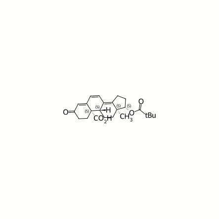 CC(C)(C)C(=O)O[C@H]1CCC2=C3C=CC4=CC(=O)CC[C@]4(C(=O)O)[C@H]3CC[C@@]21C